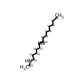 Br.CCCCCCCCCCCCCCCCNCC